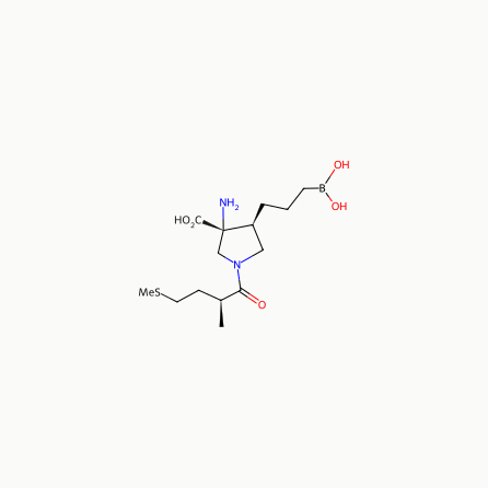 CSCC[C@H](C)C(=O)N1C[C@H](CCCB(O)O)[C@](N)(C(=O)O)C1